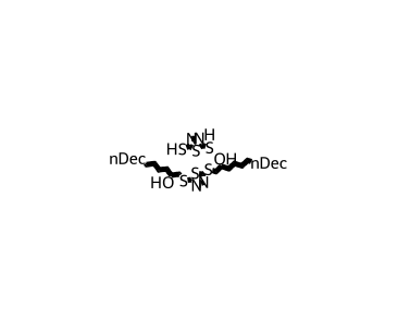 CCCCCCCCCCCCCCC(O)CSc1nnc(SCC(O)CCCCCCCCCCCCCC)s1.Sc1nnc(S)s1